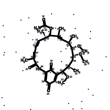 CO[C@H]1[C@H](C)/C=C(\C)C(OC(N)=O)[C@@H](C)/C=C\C=C(/C)C(=O)NC2=CC(=O)C=C(C2=O)[C@H](OC)[C@@H](C)C[C@H]1OC